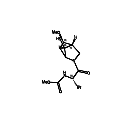 COC(=O)N[C@H](C(=O)N1C[C@H]2[C@H](OC)CC1[C@@H]2S)C(C)C